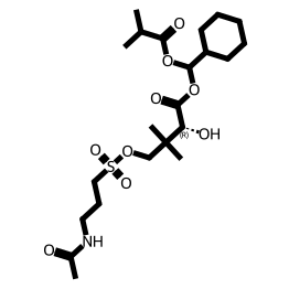 CC(=O)NCCCS(=O)(=O)OCC(C)(C)[C@@H](O)C(=O)OC(OC(=O)C(C)C)C1CCCCC1